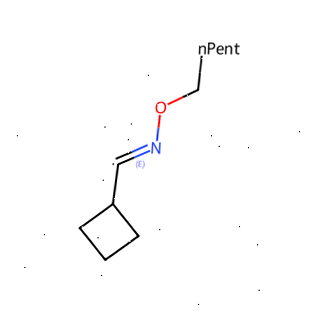 CCCCCCO/N=[C]/C1CCC1